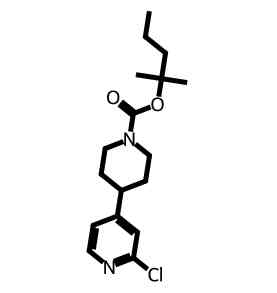 CCCC(C)(C)OC(=O)N1CCC(c2ccnc(Cl)c2)CC1